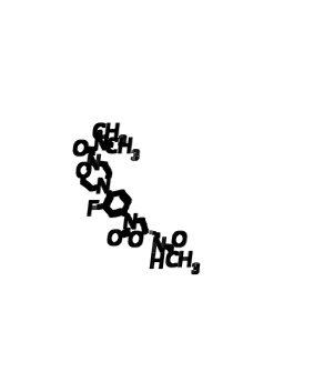 CC(=O)NC[C@H]1CN(c2ccc(N3CCON(C(=O)N(C)C)CC3)c(F)c2)C(=O)O1